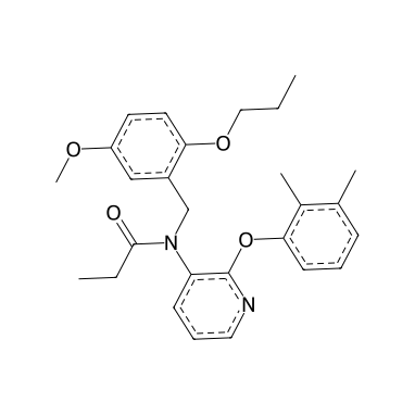 CCCOc1ccc(OC)cc1CN(C(=O)CC)c1cccnc1Oc1cccc(C)c1C